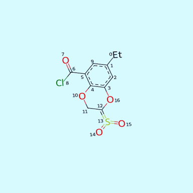 CCc1cc2c(c(C(=O)Cl)c1)OCC(=S(=O)=O)O2